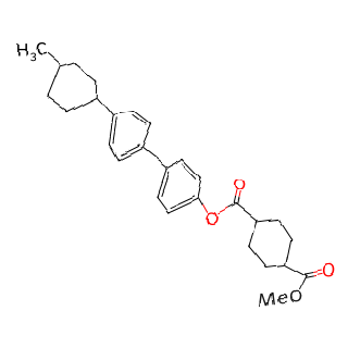 COC(=O)C1CCC(C(=O)Oc2ccc(-c3ccc(C4CCC(C)CC4)cc3)cc2)CC1